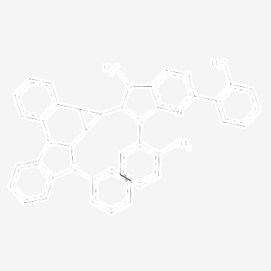 Cc1ccccc1-c1ncc2c(n1)N(c1ccccc1C)C(C1C3c4ccccc4N4c5ccccc5N(c5ccccc5)C4C31)N2C